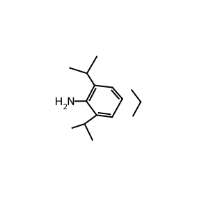 CC(C)c1cccc(C(C)C)c1N.CCC